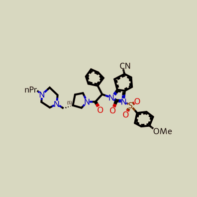 CCCN1CCN(C[C@@H]2CCN(C(=O)C(c3ccccc3)n3c(=O)n(S(=O)(=O)c4ccc(OC)cc4)c4ccc(C#N)cc43)C2)CC1